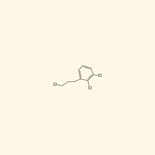 ClCCCc1cc[c]c(Cl)c1Cl